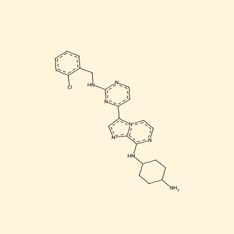 NC1CCC(Nc2nccn3c(-c4ccnc(NCc5ccccc5Cl)n4)cnc23)CC1